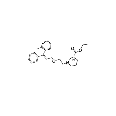 CCOC(=O)[C@@H]1CCCN(CCOCC=C(c2ccccc2)c2ccccc2C)C1